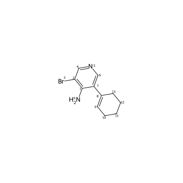 Nc1c(Br)cncc1C1=CCCCC1